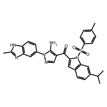 Cc1ccc(S(=O)(=O)n2c(C(=O)c3cnn(-c4ccc5[nH]c(C)nc5c4)c3N)cc3ccc(C(C)C)cc32)cc1